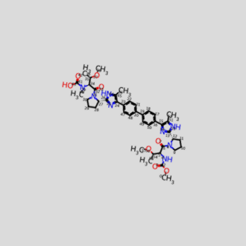 COC(=O)N[C@H](C(=O)N1CCC[C@H]1c1nc(-c2ccc(-c3ccc(-c4nc([C@@H]5CCCN5C(=O)[C@H]([C@@H](C)OC)N(C)C(=O)O)[nH]c4C)cc3)cc2)c(C)[nH]1)[C@@H](C)OC